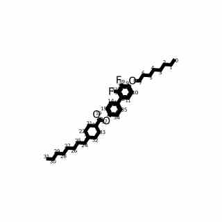 CCCCCCCCOc1ccc(-c2ccc(OC(=O)C3CCC(CCCCCCCC)CC3)cc2)c(F)c1F